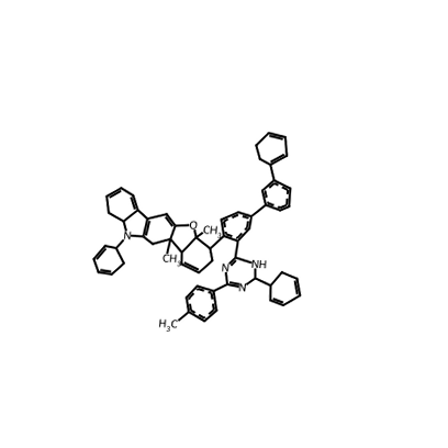 Cc1ccc(C2=NC(C3C=CC=CC3)NC(c3cc(-c4cccc(C5=CC=CCC5)c4)ccc3C3CC=CC4C5(C)CC6=C(C=C5OC34C)C3=CC=CCC3N6C3C=CC=CC3)=N2)cc1